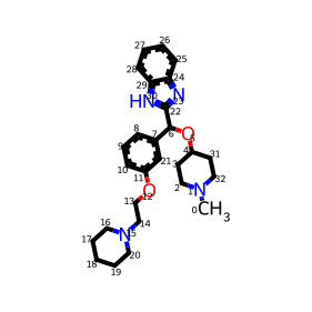 CN1CCC(OC(c2cccc(OCCN3CCCCC3)c2)c2nc3ccccc3[nH]2)CC1